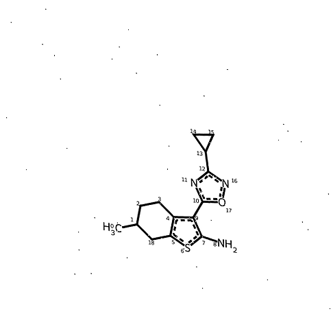 CC1CCc2c(sc(N)c2-c2nc(C3CC3)no2)C1